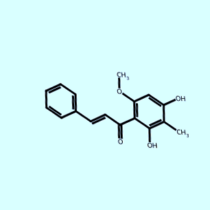 COc1cc(O)c(C)c(O)c1C(=O)/C=C/c1ccccc1